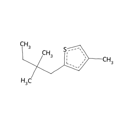 CCC(C)(C)Cc1cc(C)cs1